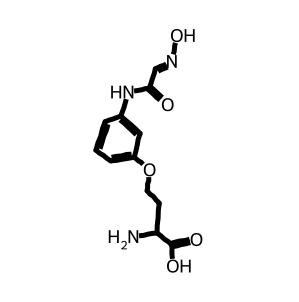 NC(CCOc1cccc(NC(=O)C=NO)c1)C(=O)O